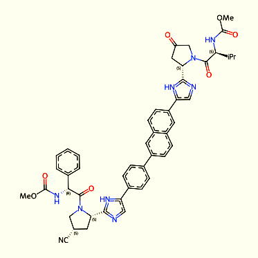 COC(=O)N[C@H](C(=O)N1CC(=O)C[C@H]1c1ncc(-c2ccc3cc(-c4ccc(-c5cnc([C@@H]6C[C@H](C#N)CN6C(=O)[C@H](NC(=O)OC)c6ccccc6)[nH]5)cc4)ccc3c2)[nH]1)C(C)C